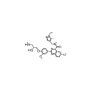 CCn1ncc(CN(C)C(=O)c2nc(-c3ccc(OCC(O)CNC)c(OC)c3)nc3ccc(Cl)cc23)c1C